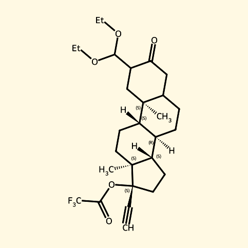 C#C[C@]1(OC(=O)C(F)(F)F)CC[C@H]2[C@@H]3CCC4CC(=O)C(C(OCC)OCC)C[C@]4(C)[C@H]3CC[C@@]21C